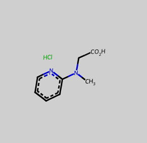 CN(CC(=O)O)c1ccccn1.Cl